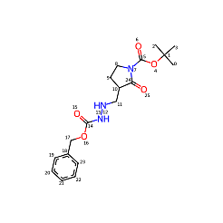 CC(C)(C)OC(=O)N1CCC(CNNC(=O)OCc2ccccc2)C1=O